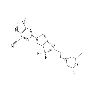 C[C@@H]1CN(CCCOc2ccc(-c3cc4c(ncn4C)c(C#N)n3)cc2C(F)(F)F)C[C@H](C)O1